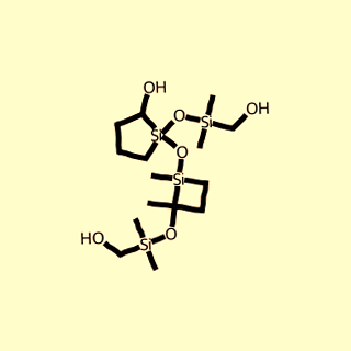 CC1(O[Si](C)(C)CO)CC[Si]1(C)O[Si]1(O[Si](C)(C)CO)CCCC1O